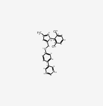 FC(F)(F)c1cc(COc2ccc(-c3cncnc3)cc2)n(-c2c(Cl)cccc2Cl)n1